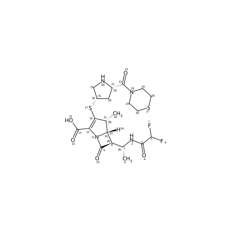 C[C@@H](NC(=O)C(F)F)[C@H]1C(=O)N2C(C(=O)O)=C(S[C@@H]3CN[C@H](C(=O)N4CCSCC4)C3)[C@H](C)[C@H]12